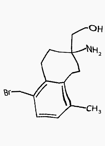 Cc1ccc(Br)c2c1CC(N)(CO)CC2